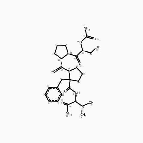 C[C@@H](O)[C@H](NC(=O)C1(Cc2ccccc2)CCCN1C(=O)[C@@H]1CCCN1C(=O)[C@H](CO)OC(N)=O)C(N)=O